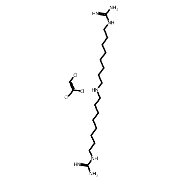 ClC=C(Cl)Cl.N=C(N)NCCCCCCCCNCCCCCCCCNC(=N)N